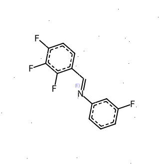 Fc1cccc(/N=C/c2ccc(F)c(F)c2F)c1